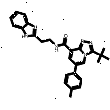 Cc1ccc(-c2cc(C(=O)NCCc3nc4ccccc4[nH]3)c3nnc(C(C)(C)C)n3c2)cc1